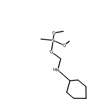 CO[Si](C)(OC)OCNC1CCCCC1